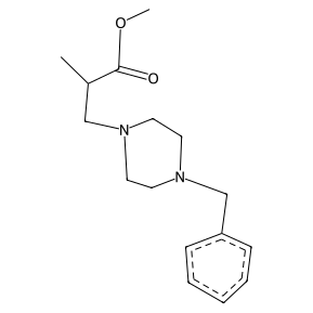 COC(=O)C(C)CN1CCN(Cc2ccccc2)CC1